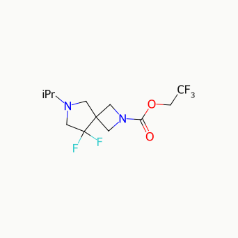 CC(C)N1CC(F)(F)C2(CN(C(=O)OCC(F)(F)F)C2)C1